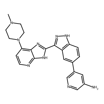 CN1CCN(c2ccnc3[nH]c(-c4n[nH]c5ccc(-c6cncc(N)c6)cc45)nc23)CC1